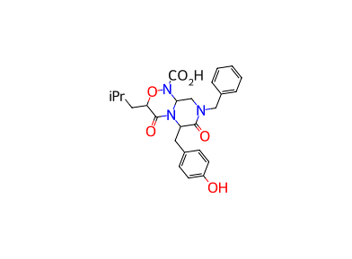 CC(C)CC1ON(C(=O)O)C2CN(Cc3ccccc3)C(=O)C(Cc3ccc(O)cc3)N2C1=O